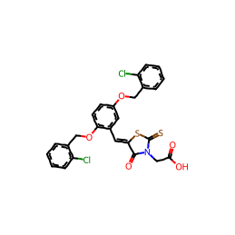 O=C(O)CN1C(=O)C(=Cc2cc(OCc3ccccc3Cl)ccc2OCc2ccccc2Cl)SC1=S